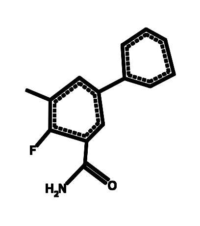 Cc1cc(-c2ccccc2)cc(C(N)=O)c1F